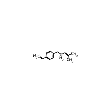 C=Cc1ccc(C[SiH2]C=C(C)C)cc1